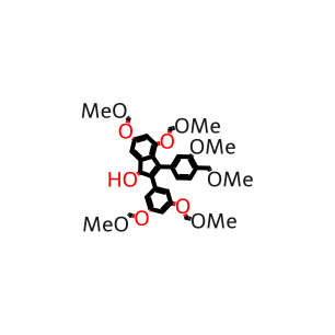 COCOc1cc(OCOC)cc(C2=C(c3ccc(COC)c(OC)c3)c3c(OCOC)cc(OCOC)cc3C2O)c1